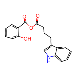 O=C(CCCc1c[nH]c2ccccc12)OC(=O)c1ccccc1O